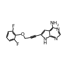 Nc1ncnc2[nH]c(C#CCOc3c(F)cccc3F)cc12